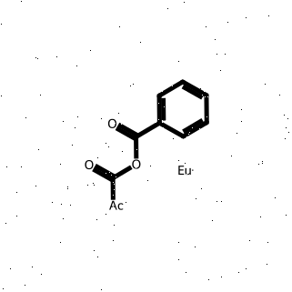 CC(=O)C(=O)OC(=O)c1ccccc1.[Eu]